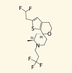 C[C@H]1C[C@@]2(CCN1CCC(F)(F)F)OCCc1cc(CC(F)F)sc12